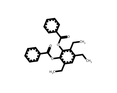 CCc1cc(CC)c(OC(=O)c2ccccc2)c(OC(=O)c2ccccc2)c1CC